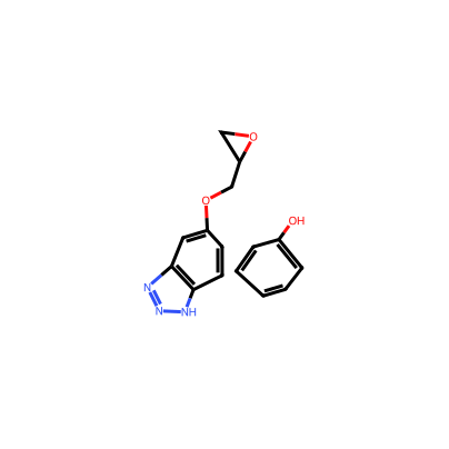 Oc1ccccc1.c1cc2[nH]nnc2cc1OCC1CO1